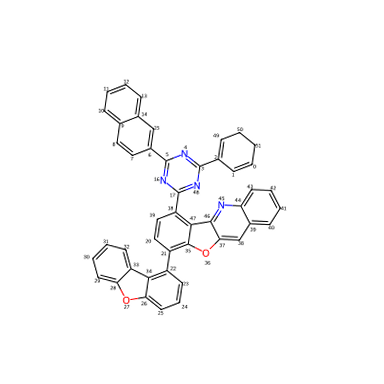 C1=CC(c2nc(-c3ccc4ccccc4c3)nc(-c3ccc(-c4cccc5oc6ccccc6c45)c4oc5cc6ccccc6nc5c34)n2)=CCC1